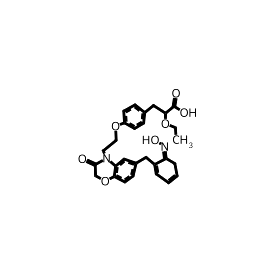 CCOC(Cc1ccc(OCCN2C(=O)COc3ccc(CC4=CC=CCC4=NO)cc32)cc1)C(=O)O